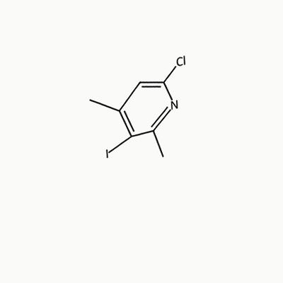 Cc1cc(Cl)nc(C)c1I